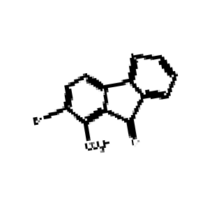 O=C(O)c1c(Br)ccc2c1C(=O)c1ccccc1-2